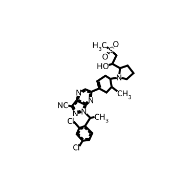 CC1CC(c2cnc3c(C#N)nn(C(C)c4ccc(Cl)cc4Cl)c3n2)=CCC1N1CCCC1C(O)CS(C)(=O)=O